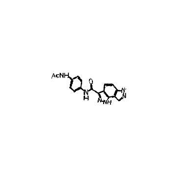 CC(=O)Nc1ccc(NC(=O)c2n[nH]c3c4c(ccc23)[N]N=C4)cc1